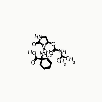 CC(C)NC(=O)OC1CNC(=O)N1C.NC1(C(=O)O)C=CC=CC1